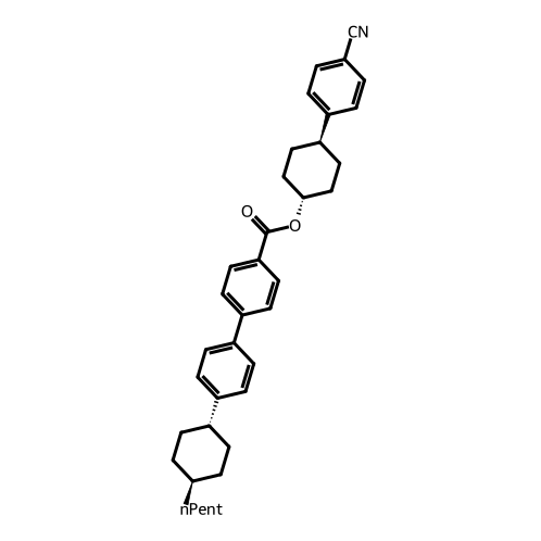 CCCCC[C@H]1CC[C@H](c2ccc(-c3ccc(C(=O)O[C@H]4CC[C@H](c5ccc(C#N)cc5)CC4)cc3)cc2)CC1